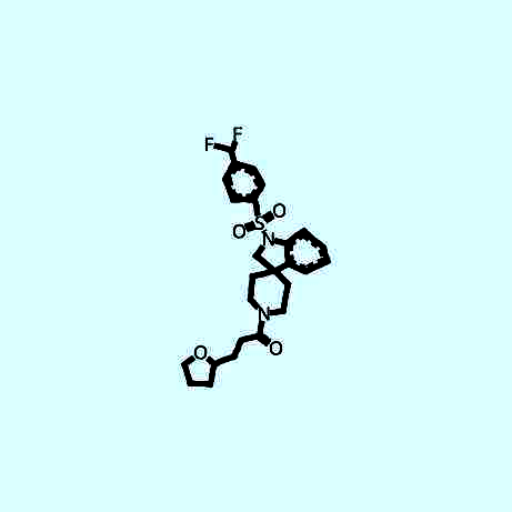 O=C(CCC1CCCO1)N1CCC2(CC1)CN(S(=O)(=O)c1ccc(C(F)F)cc1)c1ccccc12